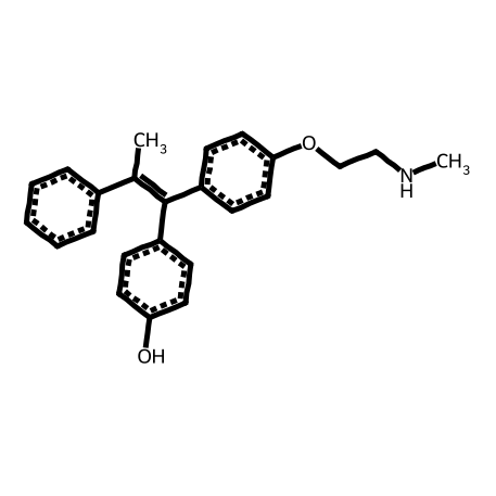 CNCCOc1ccc(/C(=C(\C)c2ccccc2)c2ccc(O)cc2)cc1